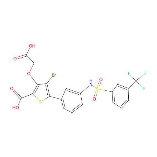 O=C(O)COc1c(C(=O)O)sc(-c2cccc(NS(=O)(=O)c3cccc(C(F)(F)F)c3)c2)c1Br